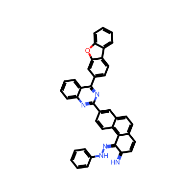 N=C1C=Cc2ccc3cc(-c4nc(-c5ccc6c(c5)oc5ccccc56)c5ccccc5n4)ccc3c2/C1=N/Nc1ccccc1